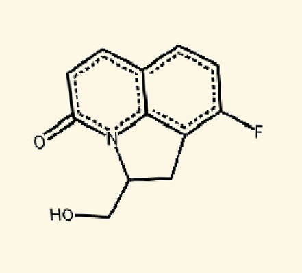 O=c1ccc2ccc(F)c3c2n1C(CO)C3